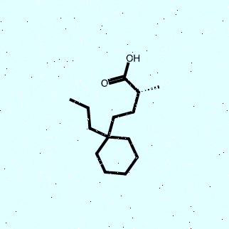 CCCC1(CC[C@@H](C)C(=O)O)CCCCC1